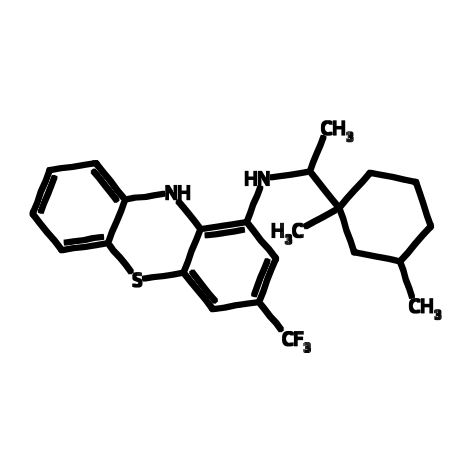 CC1CCCC(C)(C(C)Nc2cc(C(F)(F)F)cc3c2Nc2ccccc2S3)C1